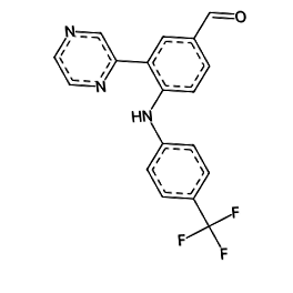 O=Cc1ccc(Nc2ccc(C(F)(F)F)cc2)c(-c2cnccn2)c1